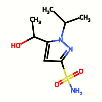 CC(O)c1cc(S(N)(=O)=O)nn1C(C)C